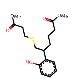 COC(=O)CCCC(CSCCC(=O)OC)c1ccccc1O